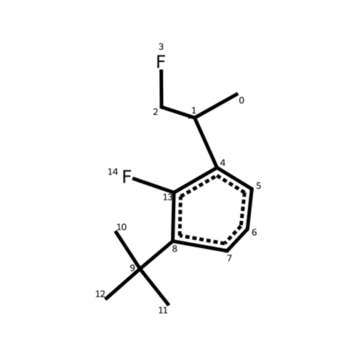 C[C](CF)c1cccc(C(C)(C)C)c1F